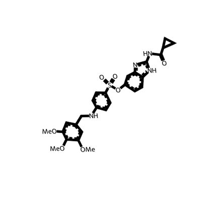 COc1cc(CNc2ccc(S(=O)(=O)Oc3ccc4[nH]c(NC(=O)C5CC5)nc4c3)cc2)cc(OC)c1OC